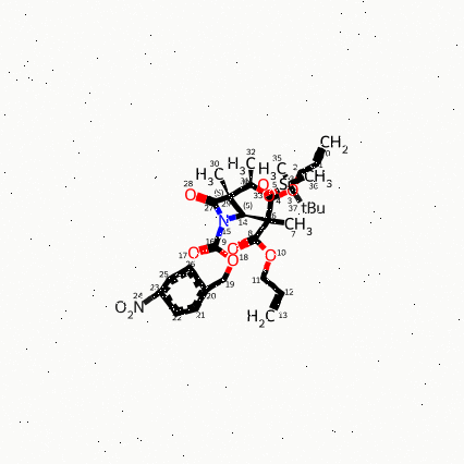 C=CCOC(=O)C(C)(C(=O)OCC=C)[C@H]1N(C(=O)OCc2ccc([N+](=O)[O-])cc2)C(=O)[C@]1(C)[C@@H](C)O[Si](C)(C)C(C)(C)C